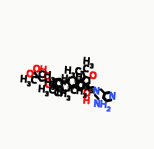 CC(C)C1=C2[C@H]3CC[C@@H]4[C@@]5(C)CC[C@H](OC(=O)CC(C)(C)C(=O)O)C(C)(C)[C@@H]5CC[C@@]4(C)[C@]3(C)CC[C@@]2([C@@H](O)CN(CCN)Cc2cccnc2)CC1=O